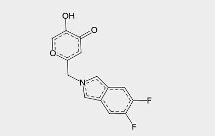 O=c1cc(Cn2cc3cc(F)c(F)cc3c2)occ1O